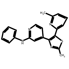 Cc1cccc(-c2sc(C)nc2-c2ccnc(Nc3ccccc3)c2)n1